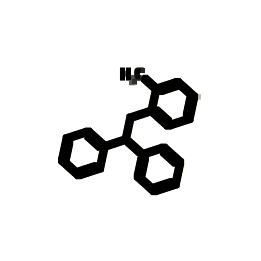 Cc1c[c]ccc1CC(c1ccccc1)c1ccccc1